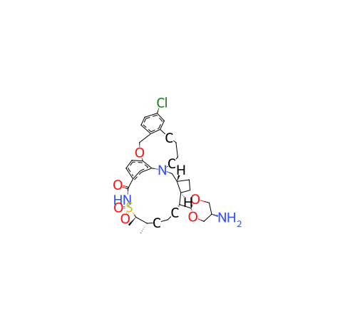 C[C@@H]1[C@@H](C)CCC[C@@H]([C@H]2OC[C@H](N)CO2)[C@@H]2CC[C@H]2CN2CCCCc3cc(Cl)ccc3COc3ccc(cc32)C(=O)NS1(=O)=O